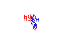 CCOn1ccc2cc(-c3[nH]c(=O)c(C(=O)O)c(O)c3CC)ccc21